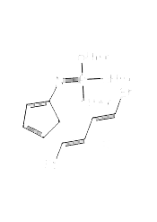 CCC=CC=CCC.CCCCCCP(CCCCCC)(CCCCCC)=NC1=CC=CC1.[Ti]